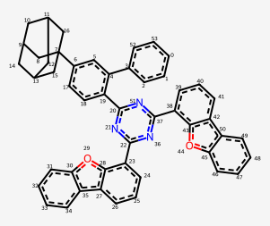 c1ccc(-c2cc(C34CC5CC(CC(C5)C3)C4)ccc2-c2nc(-c3cccc4c3oc3ccccc34)nc(-c3cccc4c3oc3ccccc34)n2)cc1